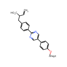 C=CC(Cc1ccc(-c2ncc(-c3ccc(OCCCCCCC)cc3)cn2)cc1)C(=O)O